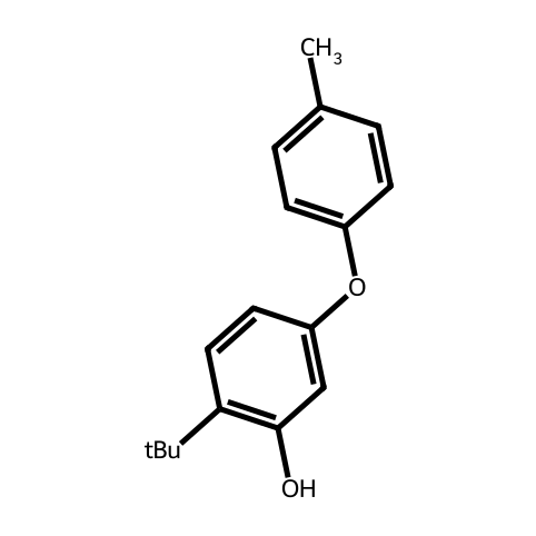 Cc1ccc(Oc2ccc(C(C)(C)C)c(O)c2)cc1